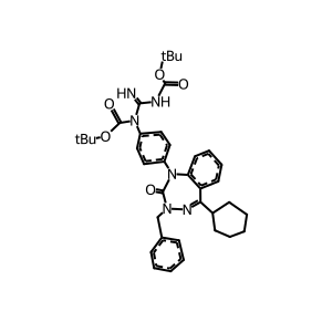 CC(C)(C)OC(=O)NC(=N)N(C(=O)OC(C)(C)C)c1ccc(N2C(=O)N(Cc3ccccc3)N=C(C3CCCCC3)c3ccccc32)cc1